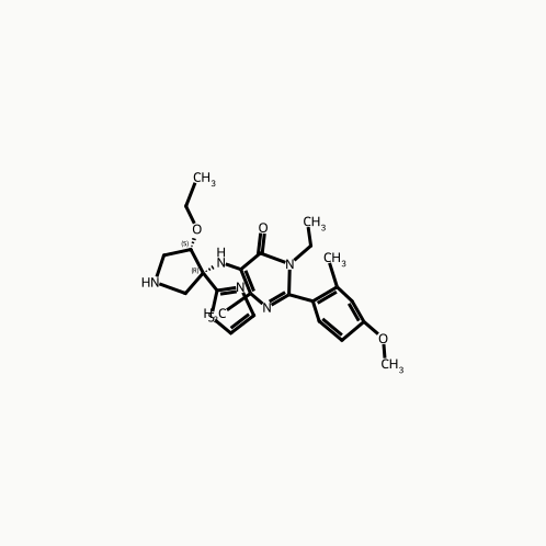 CCO[C@H]1CNC[C@]1(Nc1c(C)nc(-c2ccc(OC)cc2C)n(CC)c1=O)c1nccs1